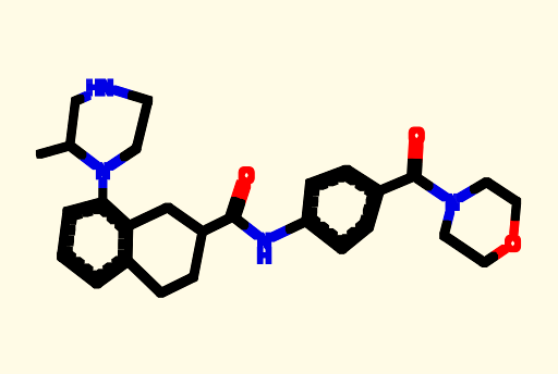 CC1CNCCN1c1cccc2c1CC(C(=O)Nc1ccc(C(=O)N3CCOCC3)cc1)CC2